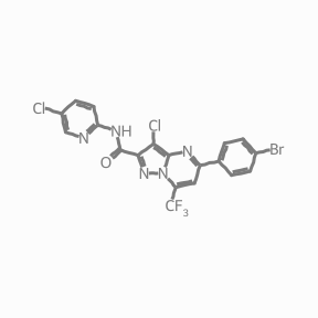 O=C(Nc1ccc(Cl)cn1)c1nn2c(C(F)(F)F)cc(-c3ccc(Br)cc3)nc2c1Cl